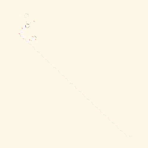 COCCOCCOCCOCCOCCOCCOCCOCCOCCOCCOCCOCCOCCOCCOCCOCCOCCOCCOCOCCCOCCOCCOCCOCCN(CCC(=O)N[C@H](C(=O)N[C@@H](C)C(=O)Nc1ccc(COC(=O)C(C)(C)C)c(CC[C@@H]2C[C@H](C(=O)O)[C@@H](O)[C@H](O)[C@H]2O)c1)C(C)C)C(=O)CN1C(=O)C=CC1=O